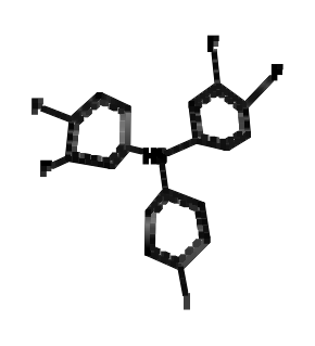 Fc1ccc([SH](c2ccc(I)cc2)c2ccc(F)c(F)c2)cc1F